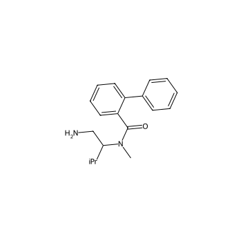 CC(C)C(CN)N(C)C(=O)c1ccccc1-c1ccccc1